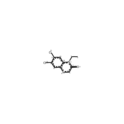 CCn1c(=O)cnc2cc(Cl)c(Cl)cc21